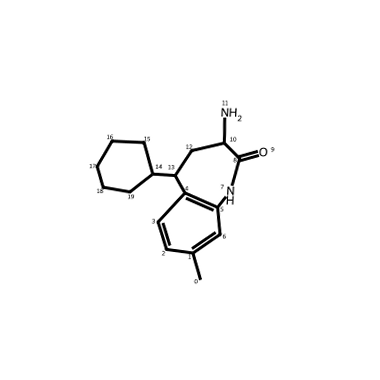 Cc1ccc2c(c1)NC(=O)C(N)CC2C1CCCCC1